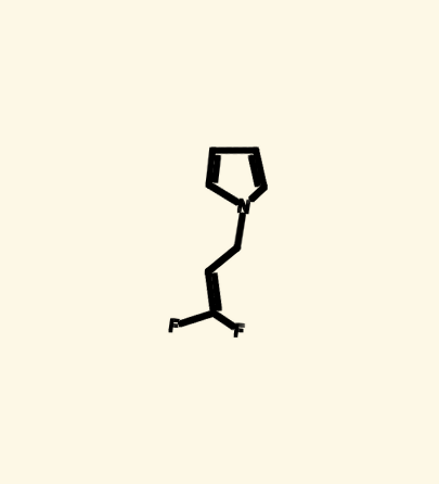 FC(F)=CCn1cccc1